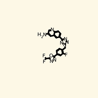 Nc1cnc2ccc(-c3nnn(Cc4ccc(-c5nnc(C(F)F)o5)cc4F)n3)cc2c1